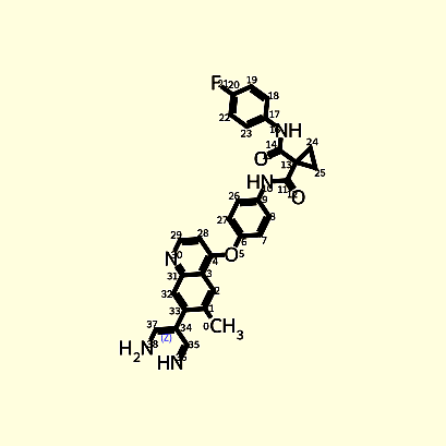 Cc1cc2c(Oc3ccc(NC(=O)C4(C(=O)Nc5ccc(F)cc5)CC4)cc3)ccnc2cc1/C(C=N)=C/N